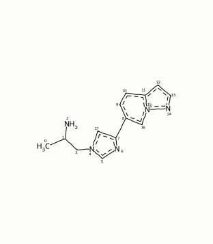 CC(N)Cn1cnc(-c2ccc3ccnn3c2)c1